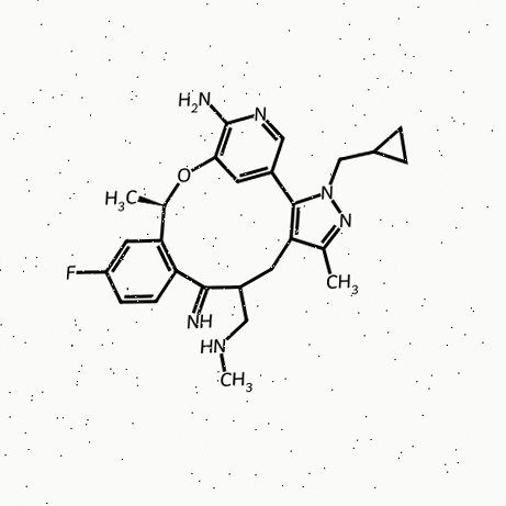 CNCC1Cc2c(C)nn(CC3CC3)c2-c2cnc(N)c(c2)O[C@H](C)c2cc(F)ccc2C1=N